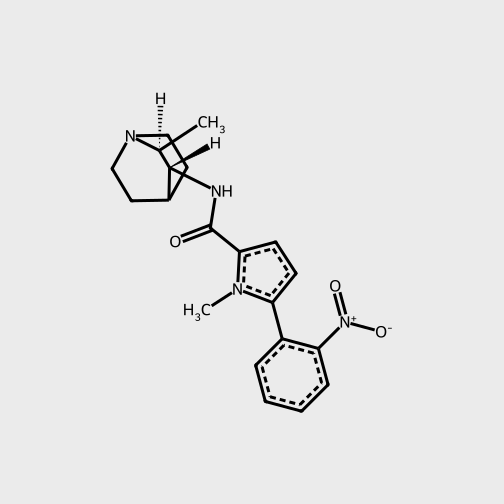 C[C@H]1[C@H](NC(=O)c2ccc(-c3ccccc3[N+](=O)[O-])n2C)C2CCN1CC2